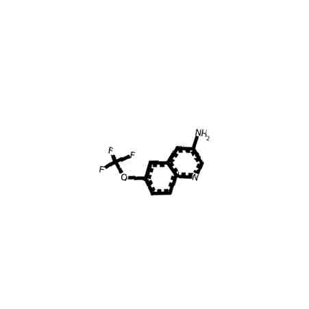 Nc1cnc2ccc(OC(F)(F)F)cc2c1